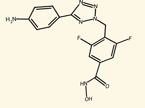 Nc1ccc(-c2nnn(Cc3c(F)cc(C(=O)NO)cc3F)n2)cc1